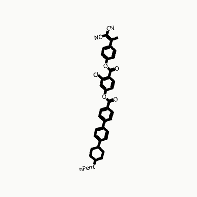 CCCCCC1CCC(c2ccc(-c3ccc(C(=O)Oc4ccc(C(=O)Oc5ccc(C(C)=C(C#N)C#N)cc5)c(Cl)c4)cc3)cc2)CC1